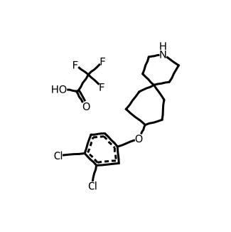 Clc1ccc(OC2CCC3(CCNCC3)CC2)cc1Cl.O=C(O)C(F)(F)F